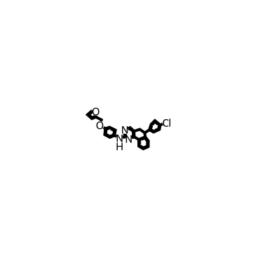 Clc1ccc(C2Cc3cnc(Nc4ccc(OCc5ccco5)cc4)nc3-c3ccccc32)cc1